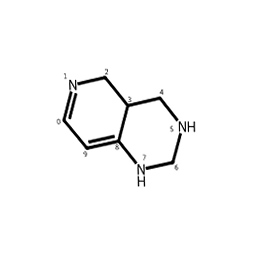 C1=NCC2CNCNC2=C1